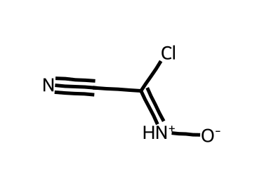 N#CC(Cl)=[NH+][O-]